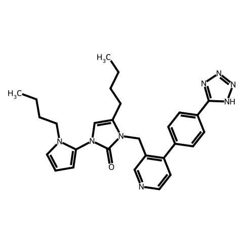 CCCCc1cn(-c2cccn2CCCC)c(=O)n1Cc1cnccc1-c1ccc(-c2nnn[nH]2)cc1